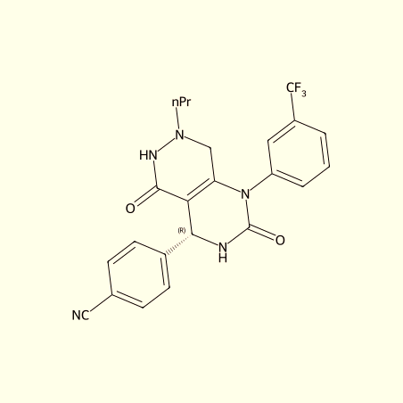 CCCN1CC2=C(C(=O)N1)[C@@H](c1ccc(C#N)cc1)NC(=O)N2c1cccc(C(F)(F)F)c1